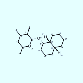 CC1CC(C)[C@@H](C)[C@H](O[C@H]2CCC[C@H]3CCCC[C@H]32)O1